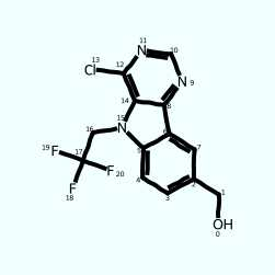 OCc1ccc2c(c1)c1ncnc(Cl)c1n2CC(F)(F)F